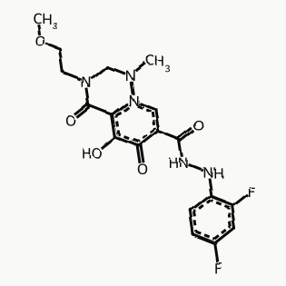 COCCN1CN(C)n2cc(C(=O)NNc3ccc(F)cc3F)c(=O)c(O)c2C1=O